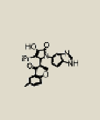 Cc1ccc2occ(C3C(C(C)C)=C(O)C(=O)N3c3ccc4[nH]cnc4c3)c(=O)c2c1